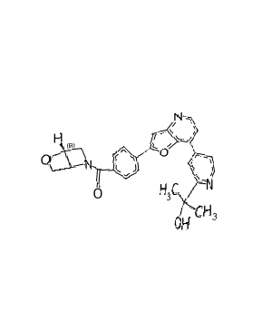 CC(C)(O)c1cc(-c2ccnc3cc(-c4ccc(C(=O)N5C[C@H]6OCC65)cc4)oc23)ccn1